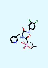 CC(C)C[C@@H](C(=O)N[C@@H](Cc1cccnc1)C(=O)Nc1ccc(Cl)c(Cl)c1)P(=O)(O)O